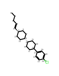 CCC/C=C/[C@H]1CC[C@H](C2CCC(c3ccc(Cl)cc3)CC2)CC1